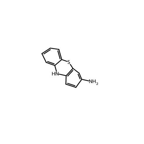 Nc1ccc2c(c1)Sc1ccccc1N2